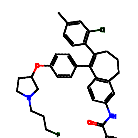 COC(=O)Nc1ccc2c(c1)CCCC(c1ccc(C)cc1Cl)=C2c1ccc(OC2CCN(CCCF)C2)cc1